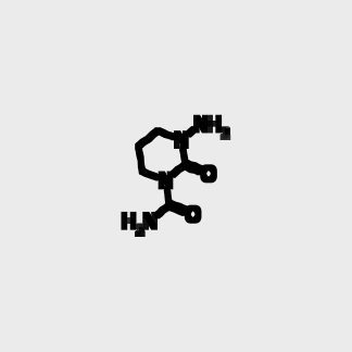 NC(=O)N1CCCN(N)C1=O